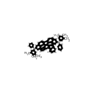 Cc1cc(N(c2ccccc2)c2ccc3c4c(ccc3c2)-c2ccc3cc(N(c5ccccc5)c5cc(C)c(C)c(C)c5)ccc3c2C42c3ccccc3-c3c2ccc2ccccc32)cc(C)c1C